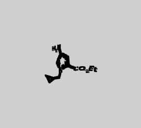 CCOC(=O)c1cc(N)cn1CC1CC1